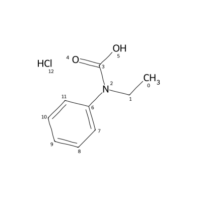 CCN(C(=O)O)c1ccccc1.Cl